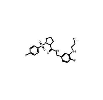 O=C(NCc1ccc(F)c(NCCC(F)(F)F)c1)C1CCCN1S(=O)(=O)c1ccc(F)cc1